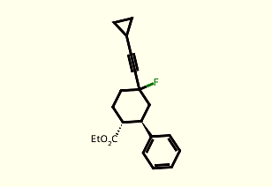 CCOC(=O)[C@@H]1CCC(F)(C#CC2CC2)C[C@H]1c1ccccc1